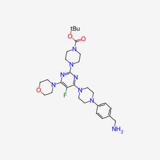 CC(C)(C)OC(=O)N1CCN(c2nc(N3CCOCC3)c(F)c(N3CCN(c4ccc(CN)cc4)CC3)n2)CC1